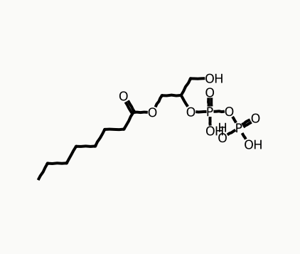 CCCCCCCC(=O)OCC(CO)OP(=O)(O)OP(=O)(O)O